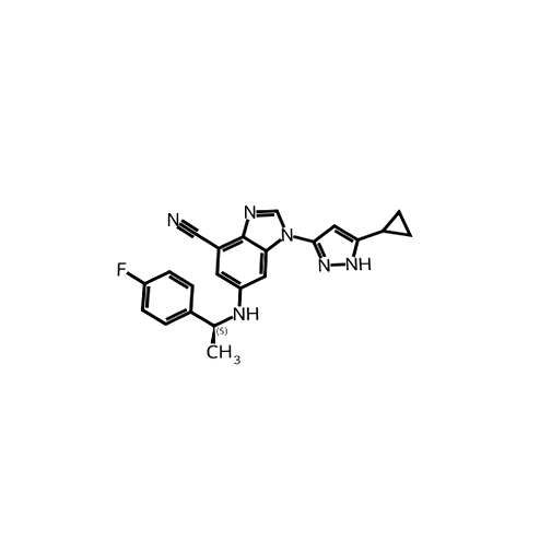 C[C@H](Nc1cc(C#N)c2ncn(-c3cc(C4CC4)[nH]n3)c2c1)c1ccc(F)cc1